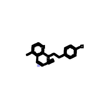 C#C/C=C\c1c(C)ccnc1NCCc1ccc(Cl)cc1